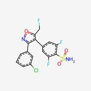 NS(=O)(=O)c1c(F)cc(-c2c(-c3cccc(Cl)c3)noc2CF)cc1F